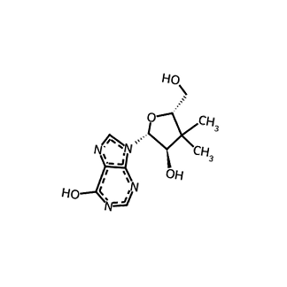 CC1(C)[C@@H](CO)O[C@@H](n2cnc3c(O)ncnc32)[C@@H]1O